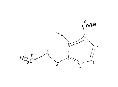 COc1cccc(CCC(=O)O)c1F